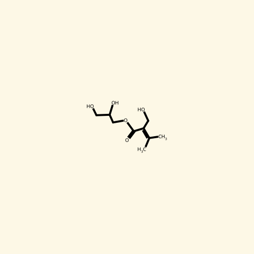 CC(C)=C(CO)C(=O)OCC(O)CO